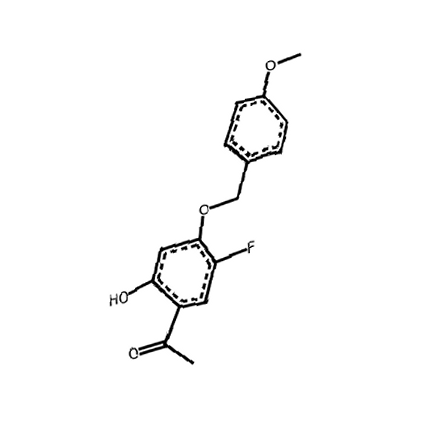 COc1ccc(COc2cc(O)c(C(C)=O)cc2F)cc1